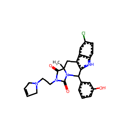 CC12Cc3c([nH]c4ccc(Cl)cc34)C(c3cccc(O)c3)N1C(=O)N(CCN1CC=CC1)C2=O